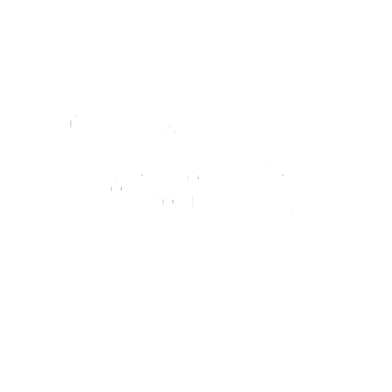 CC(C)CCC(OC1CCCCC1)(C(=O)OCCC12CC3CC(CC(C3)C1)C2)S(=O)(=O)O